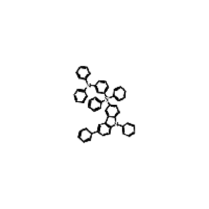 C1=CCC(c2ccc3c(c2)c2cc([Si](c4ccccc4)(c4ccccc4)c4cccc(N(c5ccccc5)c5ccccc5)c4)ccc2n3-c2ccccc2)C=C1